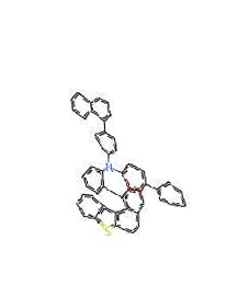 c1ccc(-c2ccc(N(c3ccc(-c4cccc5ccccc45)cc3)c3ccccc3-c3cccc4ccc5sc6ccccc6c5c34)cc2)cc1